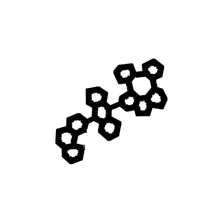 c1cnc2c(c1)ccc1ccc(-c3c4ccccc4c(-c4cc5ccc6cccc7c8ccccc8c8ccccc8c(c4)c5c67)c4ccccc34)nc12